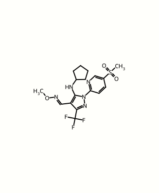 CON=Cc1c(C(F)(F)F)nn(-c2ccc(S(C)(=O)=O)cn2)c1NC1CCCC1